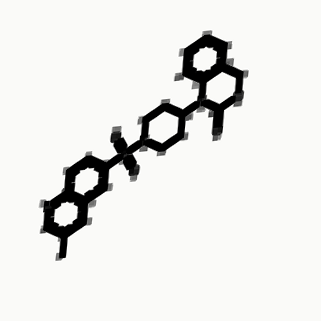 Cc1cnc2ccc(S(=O)(=O)N3CCC(N4C(=O)OCc5ccccc54)CC3)cc2c1